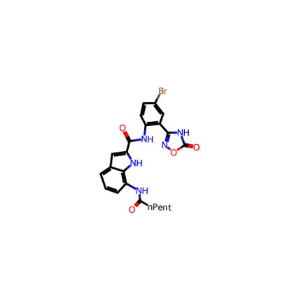 CCCCCC(=O)Nc1cccc2cc(C(=O)Nc3ccc(Br)cc3-c3noc(=O)[nH]3)[nH]c12